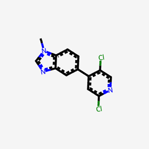 Cn1cnc2cc(-c3cc(Cl)ncc3Cl)ccc21